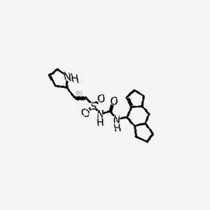 O=C(NC1C2=CCCC2CC2CCCC21)NS(=O)(=O)/C=C/C1CCCN1